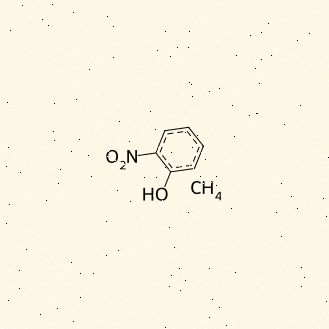 C.O=[N+]([O-])c1ccccc1O